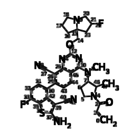 C=CC(=O)N1CCC(N(C)c2nc(OCC34CCCN3CC(F)C4)nc3c(C#N)c(-c4ccc(F)c5sc(N)c(C#N)c45)ccc23)C1C